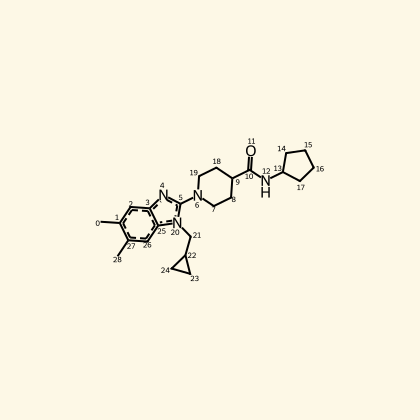 Cc1cc2nc(N3CCC(C(=O)NC4CCCC4)CC3)n(CC3CC3)c2cc1C